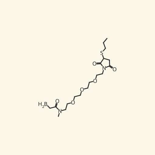 BCC(=O)N(C)CCOCCOCCOCCN1C(=O)CC(SCCC)C1=O